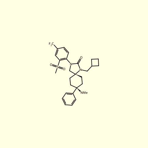 CN[C@]1(c2ccccc2)CC[C@@]2(CC1)CN(c1ccc(C(F)(F)F)cc1S(C)(=O)=O)C(=O)N2CC1CCC1